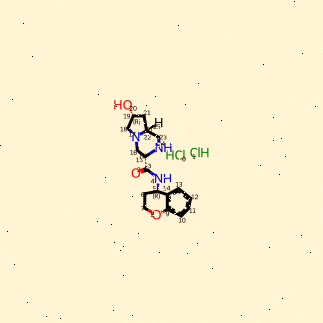 Cl.Cl.O=C(N[C@@H]1CCOc2ccccc21)[C@@H]1CN2C[C@H](O)C[C@@H]2CN1